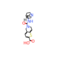 O=C(O)C1=CC=C2CN(C(=O)N[C@H]3CN4CCC3CC4)CC=C2S1